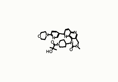 CN1Cc2cnc3ccc(-c4ccc(N5CCOCC5)nc4)nc3c2N(C2CCN(C(=O)C(C)(C)O)CC2)C1=O